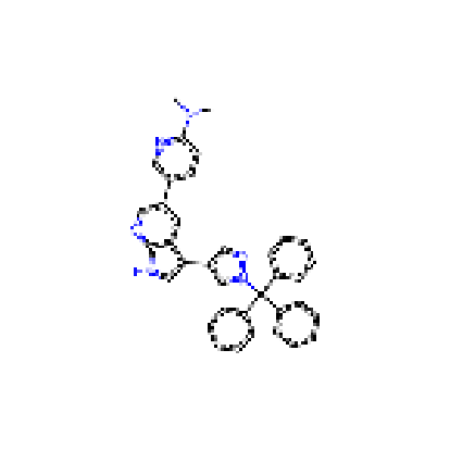 CN(C)c1ccc(-c2cnc3[nH]cc(-c4cnn(C(c5ccccc5)(c5ccccc5)c5ccccc5)c4)c3c2)cn1